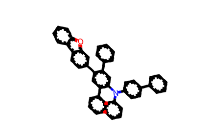 c1ccc(-c2ccc(N(c3ccccc3)c3cc(-c4ccccc4)c(-c4ccc5c(c4)oc4ccccc45)cc3-c3ccccc3)cc2)cc1